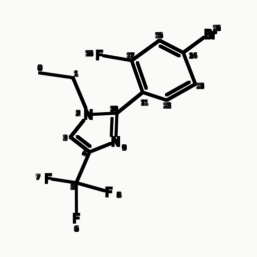 CCn1cc(C(F)(F)F)nc1-c1ccc(Br)cc1F